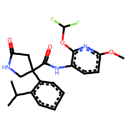 COc1ccc(NC(=O)C2(c3ccccc3C(C)C)CNC(=O)C2)c(OC(F)F)n1